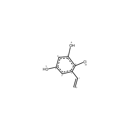 C=Cc1cc(O)cc(O)c1Cl